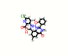 COc1ccccc1-c1nc2c(C(C)Nc3ccc(Cl)nc3C(=O)O)cc(C)cc2c(=O)n1C